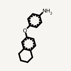 Nc1ccc(Oc2ccc3c(c2)CCCC3)cc1